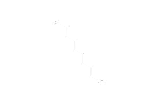 [CH2]C=CCCC=CC=CCCC